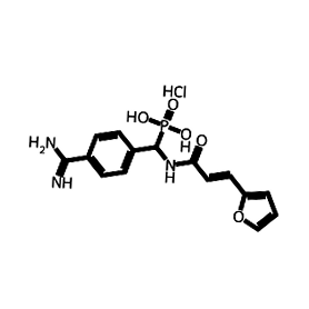 Cl.N=C(N)c1ccc(C(NC(=O)/C=C/c2ccco2)P(=O)(O)O)cc1